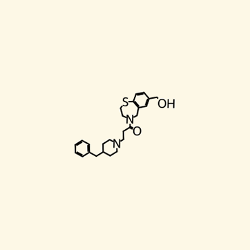 O=C(CCN1CCC(Cc2ccccc2)CC1)N1CCSc2ccc(CO)cc2C1